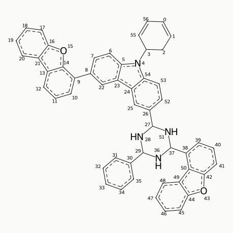 C1=CCC(n2c3ccc(-c4cccc5c4oc4ccccc45)cc3c3cc(C4NC(c5ccccc5)NC(c5cccc6oc7ccccc7c56)N4)ccc32)C=C1